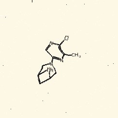 Cc1nc(N2CC3CC(C2)N3)cnc1Cl